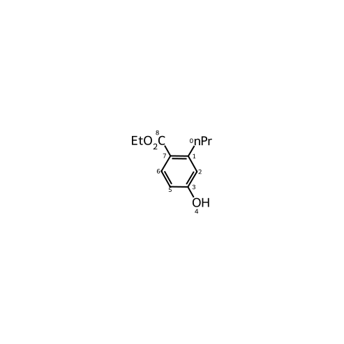 CCCc1cc(O)ccc1C(=O)OCC